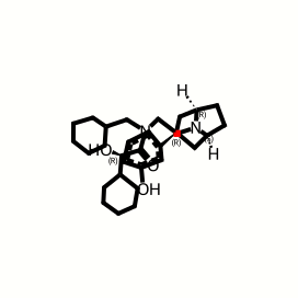 O=C([C@H](O)C1CCCCC1)N(CCN1[C@@H]2CC[C@H]1C[C@@H](c1cccc(O)c1)C2)CC1CCCCC1